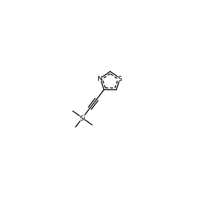 C[Si](C)(C)C#Cc1cscn1